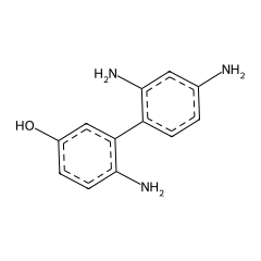 Nc1ccc(-c2cc(O)ccc2N)c(N)c1